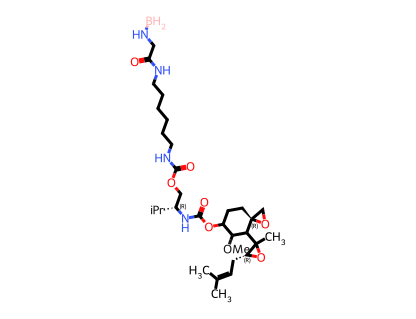 BNCC(=O)NCCCCCCNC(=O)OC[C@H](NC(=O)OC1CC[C@]2(CO2)C(C2(C)O[C@@H]2CC=C(C)C)C1OC)C(C)C